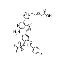 C[C@H](Oc1cc(-c2nn(C)c3c(-c4cnn(CCOCC(=O)O)c4)cnc(N)c23)ccc1NS(=O)(=O)C(F)F)c1ccc(F)cc1